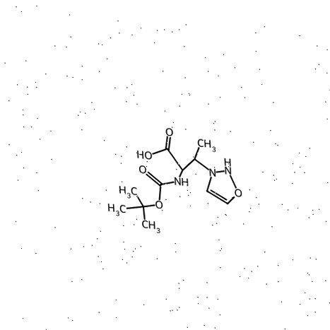 CC(C(NC(=O)OC(C)(C)C)C(=O)O)N1C=CON1